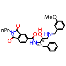 CCCN1C(=O)c2ccc(C(=O)N[C@@H](Cc3ccccc3)[C@@H](O)CNCc3cccc(OC)c3)cc2C1=O